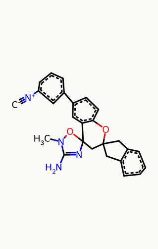 [C-]#[N+]c1cccc(-c2ccc3c(c2)C2(CC4(Cc5ccccc5C4)O3)N=C(N)N(C)O2)c1